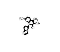 CC(=O)Oc1c(N)c2ccc(C(F)(F)F)nc2n(-c2ccc3nccn3c2)c1=O